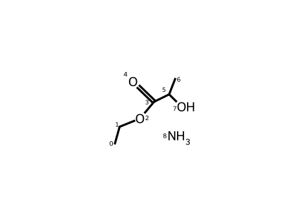 CCOC(=O)C(C)O.N